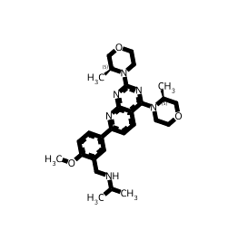 COc1ccc(-c2ccc3c(N4CCOC[C@@H]4C)nc(N4CCOC[C@@H]4C)nc3n2)cc1CNC(C)C